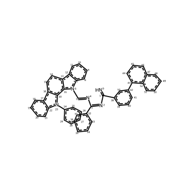 N=C(/N=C(\N=C\n1c2ccccc2c2ccc3c4ccccc4n(-c4ccccc4)c3c21)c1ccccc1)c1cccc(-c2cccc3ccccc23)c1